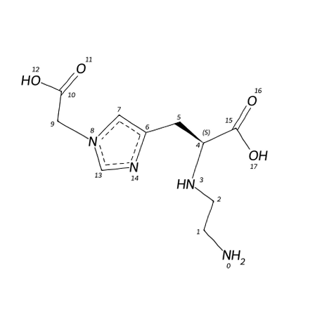 NCCN[C@@H](Cc1cn(CC(=O)O)cn1)C(=O)O